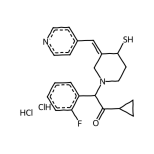 Cl.Cl.O=C(C1CC1)C(c1ccccc1F)N1CCC(S)C(=Cc2ccncc2)C1